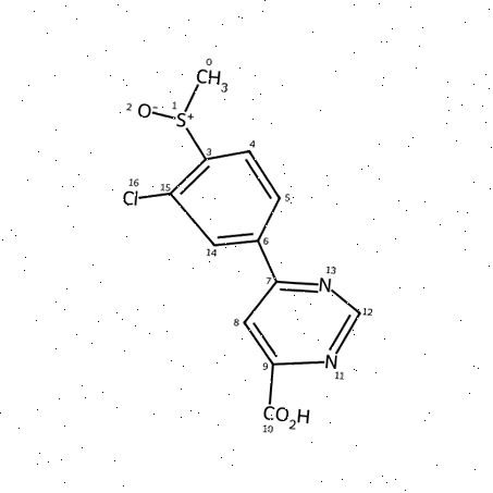 C[S+]([O-])c1ccc(-c2cc(C(=O)O)ncn2)cc1Cl